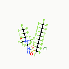 O=S(=O)(NC(F)(F)[N+](C(F)(F)F)(C(F)(F)F)C(F)(F)C(F)(F)C(F)(F)F)C(F)(F)C(F)(F)C(F)(F)C(F)(F)C(F)(F)C(F)(F)C(F)(F)C(F)(F)F.[Cl-]